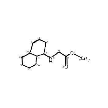 COC(=O)CNC1CCCC2CCCCC21